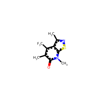 Cc1c(C(F)(F)F)c2c(C)nsc2n(C)c1=O